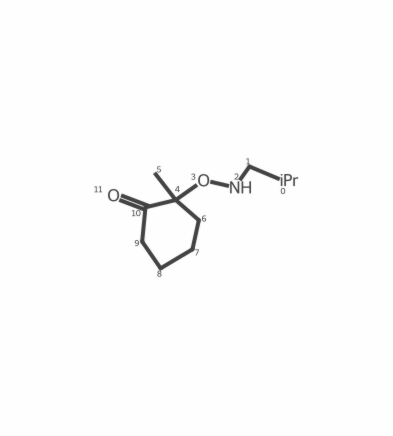 CC(C)CNOC1(C)CCCCC1=O